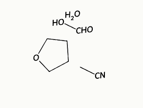 C1CCOC1.CC#N.O.O=CO